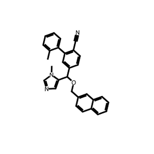 Cc1ccccc1-c1cc(C(OCc2ccc3ccccc3c2)c2cncn2C)ccc1C#N